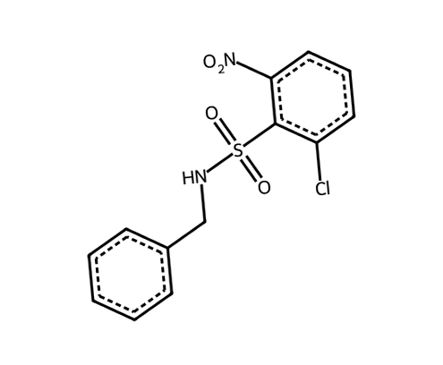 O=[N+]([O-])c1cccc(Cl)c1S(=O)(=O)NCc1ccccc1